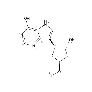 OC[C@@H]1C[C@@H](O)[C@H](c2c[nH]c3c(O)ncnc23)C1